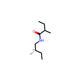 CCC(C)C(=O)NC[C@@H](C)CC